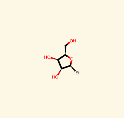 CC[C@@H]1O[C@H](CO)[C@H](O)[C@@H]1O